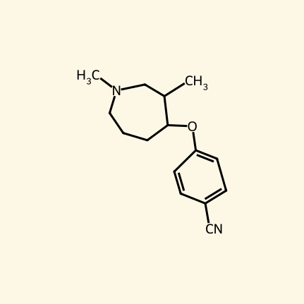 CC1CN(C)CCCC1Oc1ccc(C#N)cc1